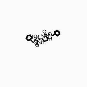 N=C(NS(=O)(=O)Cc1ccccc1)[C@@H]1CC[C@@H]2CN1C(=O)N2OCc1ccccc1